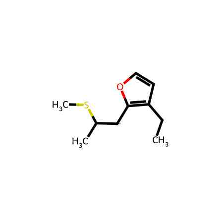 CCc1ccoc1[CH]C(C)SC